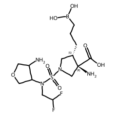 NC1COCC1N(CC(F)F)S(=O)(=O)N1C[C@H](CCCB(O)O)[C@](N)(C(=O)O)C1